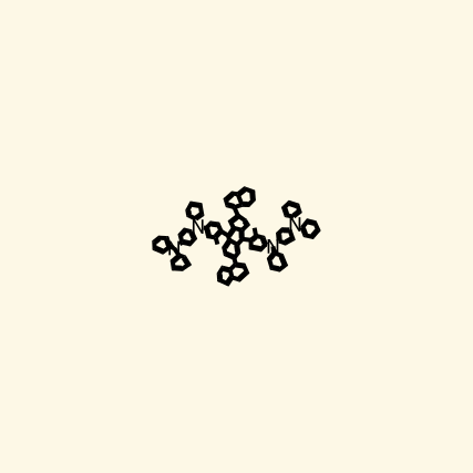 Cc1cc(N(c2ccccc2)c2ccc(N(c3ccccc3)c3ccccc3)cc2)ccc1-c1c2ccc(-c3cccc4ccccc34)cc2c(-c2ccc(N(c3ccccc3)c3ccc(N(c4ccccc4)c4ccccc4)cc3)cc2C)c2ccc(-c3cccc4ccccc34)cc12